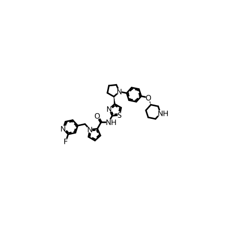 O=C(Nc1nc([C@H]2CCCN2c2ccc(O[C@H]3CCCNC3)cc2)cs1)c1cccn1Cc1ccnc(F)c1